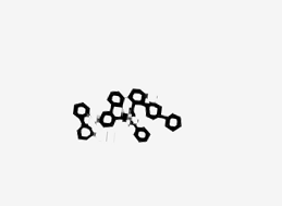 CC1CC=Cc2c1n(-c1ccc(-c3nc(-c4ccccc4)nc(-c4cccc5oc6cc(-c7ccccc7)ccc6c45)n3)c(-c3ccccc3)c1)c1ccccc21